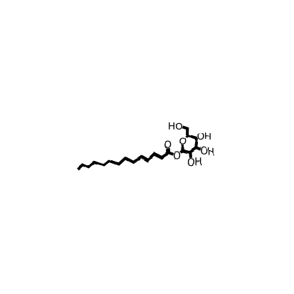 CCCCCCCCCCCCCC(=O)OC1OC(CO)C(O)C(O)C1O